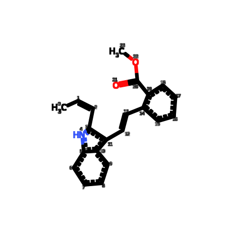 C/C=C\c1[nH]c2ccccc2c1/C=C/c1ccccc1C(=O)OC